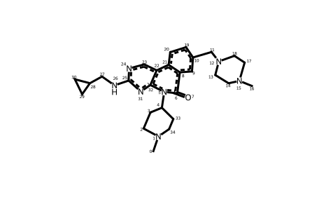 CN1CCC(n2c(=O)c3cc(CN4CCN(C)CC4)ccc3c3cnc(NCC4CC4)nc32)CC1